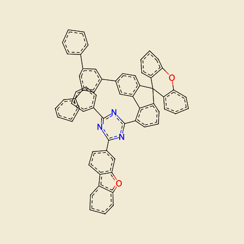 c1ccc(-c2cc(-c3ccccc3)cc(-c3ccc4c(c3)-c3c(-c5nc(-c6ccccc6)nc(-c6ccc7c(c6)oc6ccccc67)n5)cccc3C43c4ccccc4Oc4ccccc43)c2)cc1